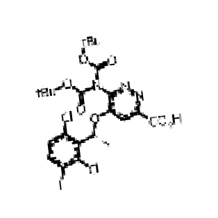 C[C@@H](Oc1cc(C(=O)O)nnc1N(C(=O)OC(C)(C)C)C(=O)OC(C)(C)C)c1c(Cl)ccc(F)c1Cl